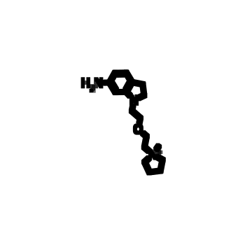 C[N+]1(CCOCCN2CCc3ccc(N)cc32)CCCC1